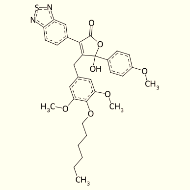 CCCCCCOc1c(OC)cc(CC2=C(c3ccc4nsnc4c3)C(=O)OC2(O)c2ccc(OC)cc2)cc1OC